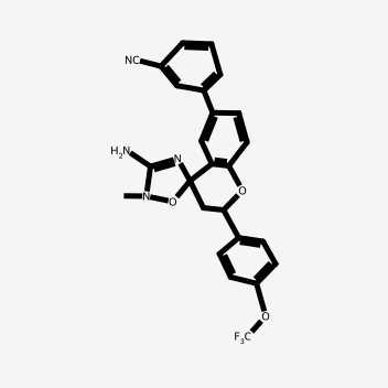 CN1OC2(CC(c3ccc(OC(F)(F)F)cc3)Oc3ccc(-c4cccc(C#N)c4)cc32)N=C1N